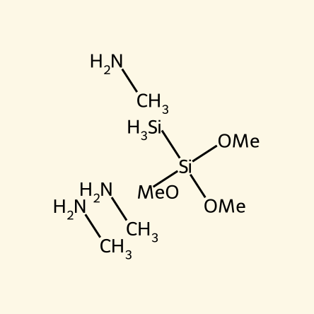 CN.CN.CN.CO[Si]([SiH3])(OC)OC